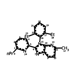 CCCc1cccc(-c2nc3ccc(C)nc3n2-c2c(CC)cccc2CC)n1